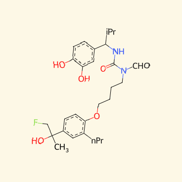 CCCc1cc(C(C)(O)CF)ccc1OCCCCN(C=O)C(=O)NC(c1ccc(O)c(O)c1)C(C)C